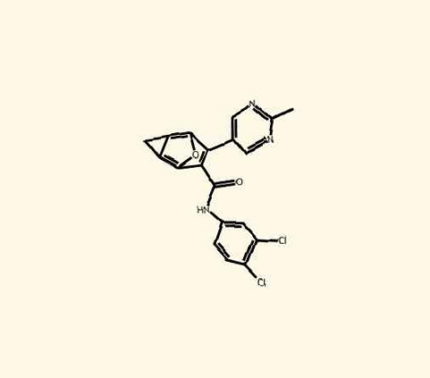 Cc1ncc(-c2c(C(=O)Nc3ccc(Cl)c(Cl)c3)c3oc2c2c3C2)cn1